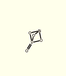 [O]=[V]12[O][Bi]([O]1)[O]2